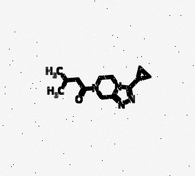 CC(C)CC(=O)N1CCn2c(nnc2C2CC2)C1